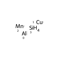 [Al].[Cu].[Mn].[SiH4]